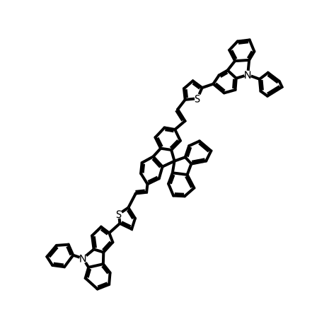 C(=C\c1ccc(-c2ccc3c(c2)c2ccccc2n3-c2ccccc2)s1)/c1ccc2c(c1)C1(c3ccccc3-c3ccccc31)c1cc(/C=C/c3ccc(-c4ccc5c(c4)c4ccccc4n5-c4ccccc4)s3)ccc1-2